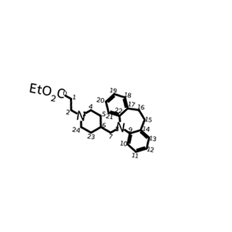 CCOC(=O)CCN1CCC(CN2c3ccccc3CCc3ccccc32)CC1